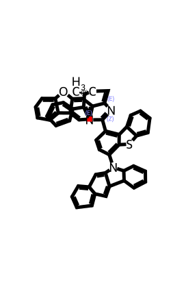 C[C@@H]1C/C=C(c2ccc3c(c2)oc2ccccc23)/N=C(c2ccc(N3c4cc5ccccc5cc4C4C=CC=CC43)c3sc4ccccc4c23)\N=C/1c1ccccc1